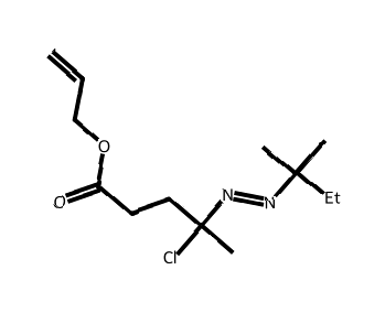 C=CCOC(=O)CCC(C)(Cl)N=NC(C)(C)CC